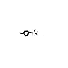 CCOC(=O)c1noc(-c2ccc(Cl)cc2)n1